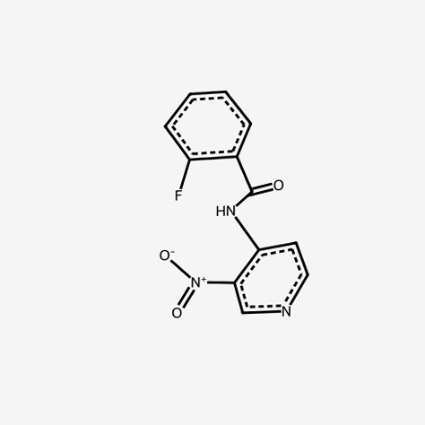 O=C(Nc1ccncc1[N+](=O)[O-])c1ccccc1F